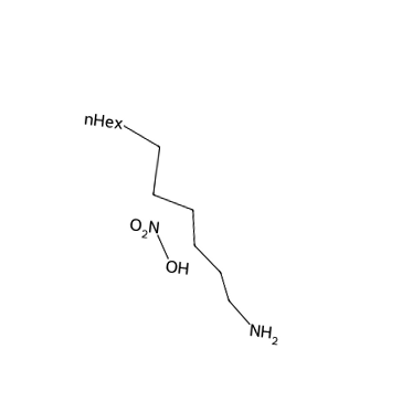 CCCCCCCCCCCCN.O=[N+]([O-])O